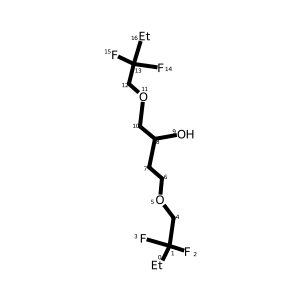 CCC(F)(F)COCCC(O)COCC(F)(F)CC